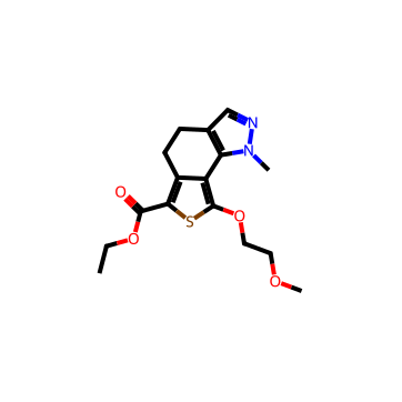 CCOC(=O)c1sc(OCCOC)c2c1CCc1cnn(C)c1-2